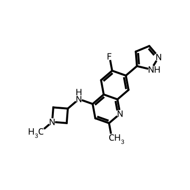 Cc1cc(NC2CN(C)C2)c2cc(F)c(-c3ccn[nH]3)cc2n1